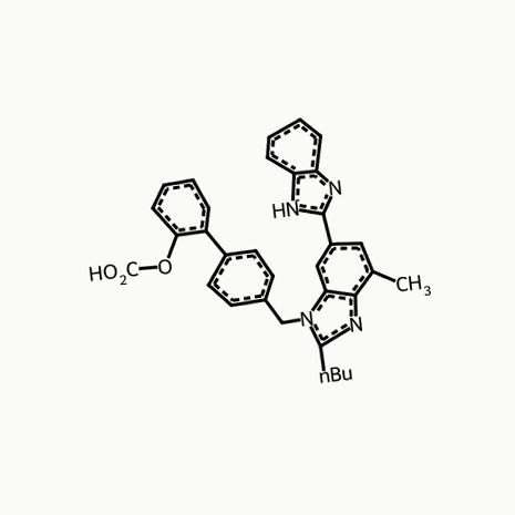 CCCCc1nc2c(C)cc(-c3nc4ccccc4[nH]3)cc2n1Cc1ccc(-c2ccccc2OC(=O)O)cc1